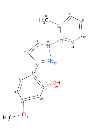 COc1ccc(-c2ccn(-c3ncccc3C)n2)c(O)c1